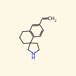 C=Cc1ccc2c(c1)CCCC21CCNC1